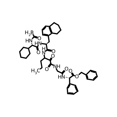 BC(=O)N[C@H](C(=O)N[C@@H](Cc1cccc2c1CCCC2)C(=O)NC(CCC)C(=O)C(=O)NCC(=O)N[C@H](C(=O)OCc1ccccc1)c1ccccc1)C1CCCCC1